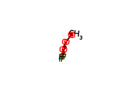 CC(=O)OCCCCCCOC(=O)/C=C/c1ccc(OC(=O)c2ccc(OCC(F)(F)C(F)F)cc2)cc1